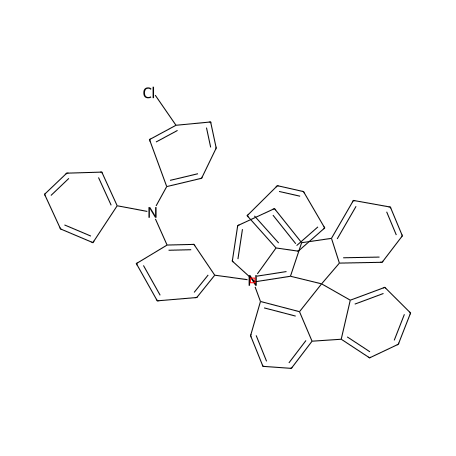 Clc1cccc(N(c2ccccc2)c2cccc(N(c3ccccc3)c3cccc4c3C3(c5ccccc5-c5ccccc53)c3ccccc3-4)c2)c1